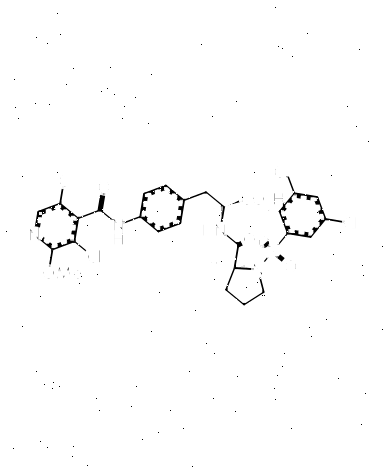 COc1ncc(Cl)c(C(=O)Nc2ccc(C[C@H](NC(=O)[C@]3(C)CCCN3S(=O)(=O)c3cc(Cl)cc(Cl)c3)C(=O)O)cc2)c1Cl